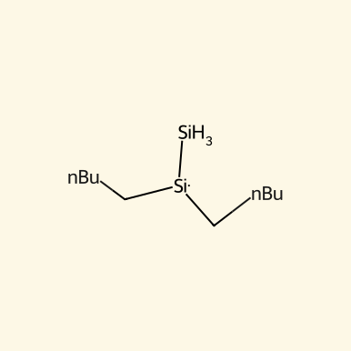 CCCCC[Si]([SiH3])CCCCC